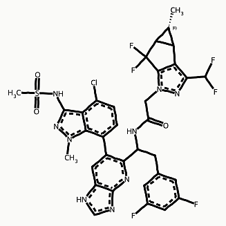 C[C@@H]1C2c3c(C(F)F)nn(CC(=O)NC(Cc4cc(F)cc(F)c4)c4nc5nc[nH]c5cc4-c4ccc(Cl)c5c(NS(C)(=O)=O)nn(C)c45)c3C(F)(F)C21